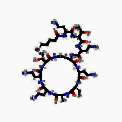 CCC[C@@H]1NC(=O)[C@@H](CC(C)C)NC(=O)[C@H](CCN)NC(=O)[C@@H](NC(=O)[C@H](CCN)NC(=O)[C@@H](NC(=O)[C@H](CCN)NC(=O)CCCC[C@@H](C)CC)[C@@H](C)O)CCNC(=O)[C@H]([C@@H](C)O)NC(=O)[C@H](CCN)NC(=O)[C@H](CCN)NC1=O